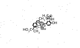 CC(C(=O)O)c1ccc(C[C@@H](C)NC[C@H](O[Si](C)(C)C(C)(C)C)c2ccc(O)c(NS(C)(=O)=O)c2)cc1